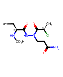 CC(C)C[C@H](NC(=O)O)C(=O)NN(CCC(N)=O)C(=O)[C@H](C)Cl